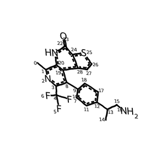 Cc1nc(C(F)(F)F)c(-c2ccc(C(C)CN)cc2)c2c1[nH]c(=O)c1sccc12